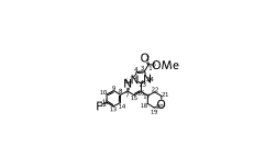 COC(=O)c1cn2nc(-c3ccc(F)cc3)cc(C3CCOCC3)c2n1